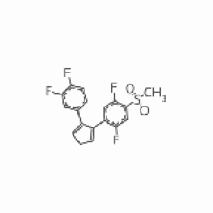 CS(=O)(=O)c1cc(F)c(C2=CCC=C2c2ccc(F)c(F)c2)cc1F